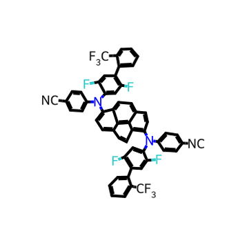 [C-]#[N+]c1ccc(N(c2cc(F)c(-c3ccccc3C(F)(F)F)cc2F)c2ccc3ccc4c(N(c5ccc(C#N)cc5)c5cc(F)c(-c6ccccc6C(F)(F)F)cc5F)ccc5ccc2c3c54)cc1